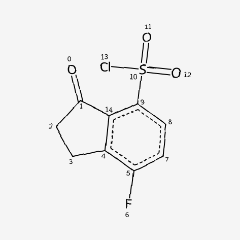 O=C1CCc2c(F)ccc(S(=O)(=O)Cl)c21